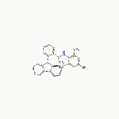 Cc1cc(C)c(NC(C)c2ccccc2C2c3ccccc3-c3ccccc32)c(C)c1